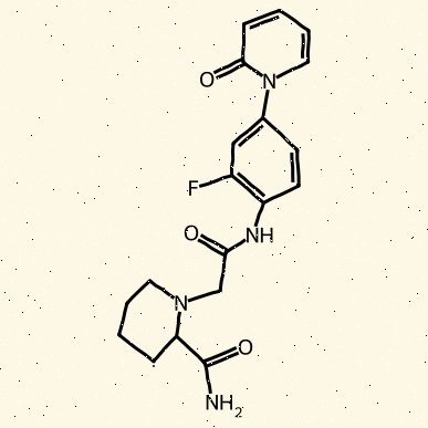 NC(=O)C1[CH]CCCN1CC(=O)Nc1ccc(-n2ccccc2=O)cc1F